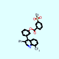 CCS(=O)(=O)c1cccc(C(=O)Oc2cccc(-c3c(C(C)C)cnc4c(C(F)(F)F)cccc34)c2)c1